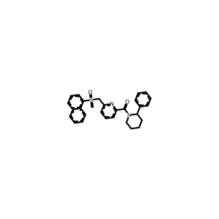 C=S(=O)(Cc1cccc(C(=O)N2CCCCC2c2ccccc2)n1)c1cccc2ccccc12